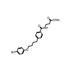 COC(=O)CCNC(=O)c1ccc(CCCCOc2ccc(Br)cc2)cc1